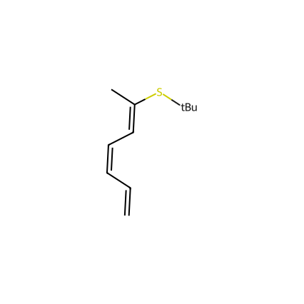 C=C/C=C\C=C(/C)SC(C)(C)C